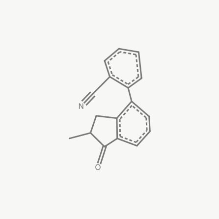 CC1Cc2c(cccc2-c2ccccc2C#N)C1=O